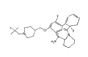 CC(C)(F)CN1CCC(COc2ccc(C3=CC=CCC3(F)C(=O)N3CCCCC3C(N)=O)c(F)c2)CC1